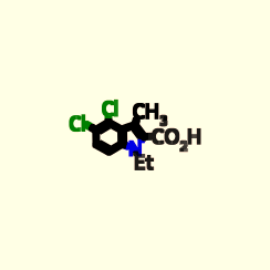 CCn1c(C(=O)O)c(C)c2c(Cl)c(Cl)ccc21